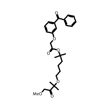 COCC(=O)C(C)(C)OCCCCC(C)(C)OC(=O)COc1cccc(C(=O)c2ccccc2)c1